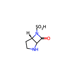 O=C1C2NCC[C@@H]2N1S(=O)(=O)O